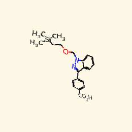 C[Si](C)(C)CCOCn1nc(-c2ccc(C(=O)O)cc2)c2ccccc21